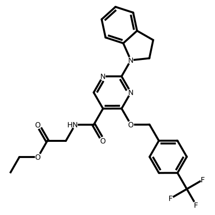 CCOC(=O)CNC(=O)c1cnc(N2CCc3ccccc32)nc1OCc1ccc(C(F)(F)F)cc1